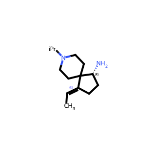 C/C=C1\CC[C@@H](N)C12CCN(C(C)C)CC2